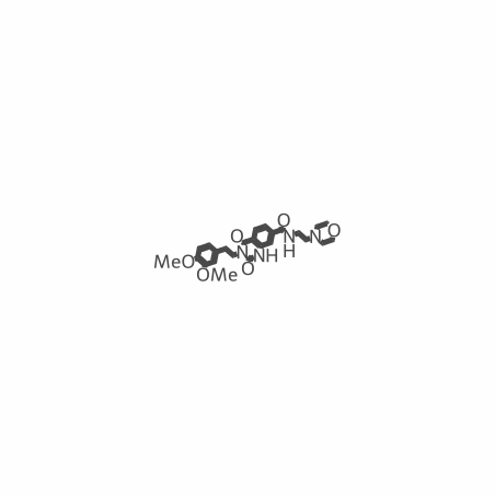 COc1ccc(CCn2c(=O)[nH]c3cc(C(=O)NCCN4CCOCC4)ccc3c2=O)cc1OC